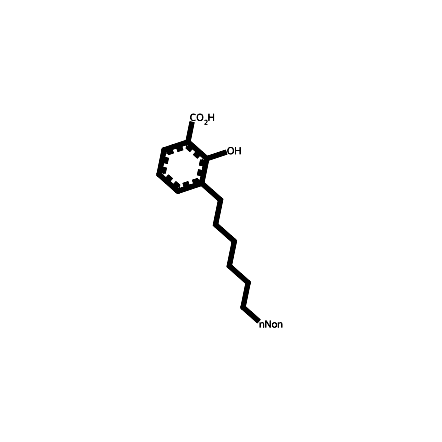 CCCCCCCCCCCCCCCc1cccc(C(=O)O)c1O